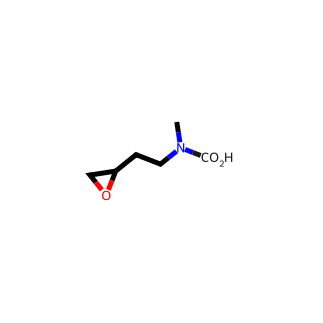 CN(CCC1CO1)C(=O)O